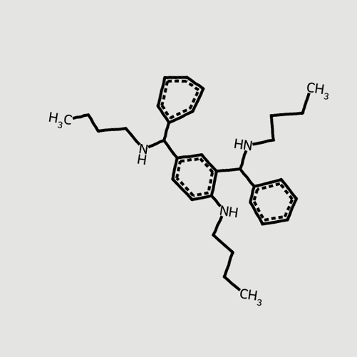 CCCCNc1ccc(C(NCCCC)c2ccccc2)cc1C(NCCCC)c1ccccc1